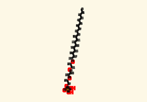 CCCCCCCCCCCCCCCCCCCOCCOCCOCCOP(=O)(O)O